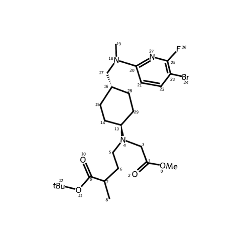 COC(=O)CN(CCC(C)C(=O)OC(C)(C)C)[C@H]1CC[C@H](CN(C)c2ccc(Br)c(F)n2)CC1